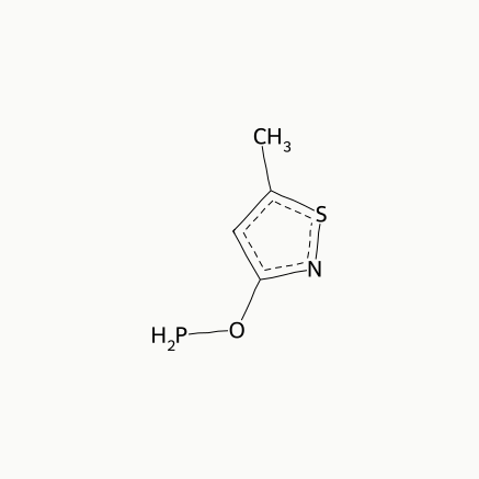 Cc1cc(OP)ns1